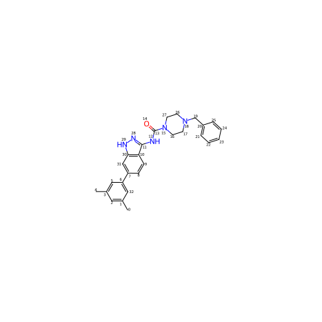 Cc1cc(C)cc(-c2ccc3c(NC(=O)N4CCN(Cc5ccccc5)CC4)n[nH]c3c2)c1